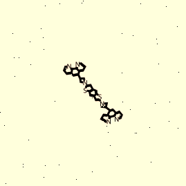 c1cnc2c(c1)cc(C1CN(c3cc4cc5sc(N6CC(c7cc8cccnc8c8ncccc78)C6)cc5cc4s3)C1)c1cccnc12